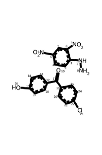 NNc1ccc([N+](=O)[O-])cc1[N+](=O)[O-].O=C(c1ccc(O)cc1)c1ccc(Cl)cc1